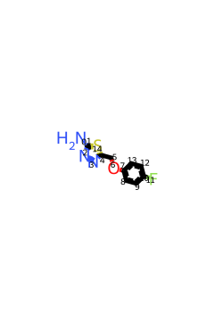 Nc1nnc(COc2ccc(F)cc2)s1